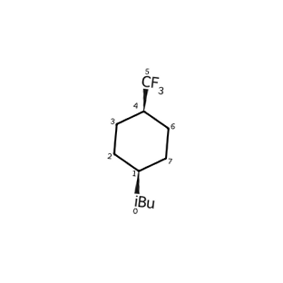 CCC(C)[C@H]1CC[C@@H](C(F)(F)F)CC1